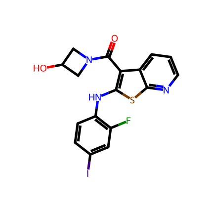 O=C(c1c(Nc2ccc(I)cc2F)sc2ncccc12)N1CC(O)C1